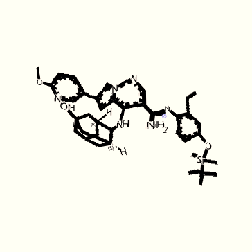 CCc1cc(O[Si](C)(C)C(C)(C)C)ccc1/N=C(\N)c1cnn2cc(-c3ccc(OC)nc3)cc2c1NC1[C@@H]2CC3C[C@H]1CC(O)(C3)C2